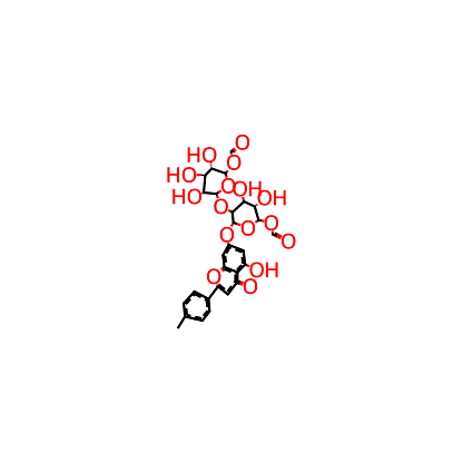 Cc1ccc(-c2cc(=O)c3c(O)cc(O[C@@H]4OC(OC=O)[C@@H](O)[C@H](O)C4O[C@@H]4OC(OC=O)[C@@H](O)[C@H](O)C4O)cc3o2)cc1